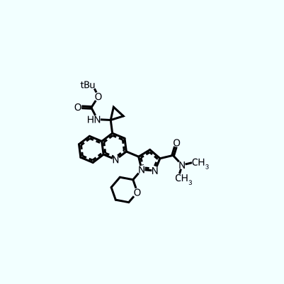 CN(C)C(=O)c1cc(-c2cc(C3(NC(=O)OC(C)(C)C)CC3)c3ccccc3n2)n(C2CCCCO2)n1